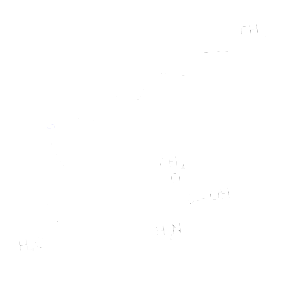 C.CCCC/C=C\CCCCCCCC.NC(=O)O